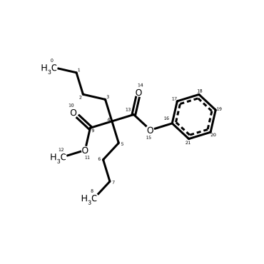 CCCCC(CCCC)(C(=O)OC)C(=O)Oc1ccccc1